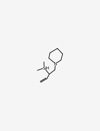 C=CC(CN1CCCCC1)[SiH](C)C